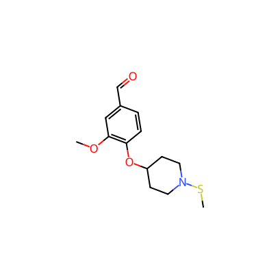 COc1cc(C=O)ccc1OC1CCN(SC)CC1